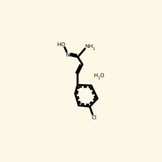 NC(C=Cc1ccc(Cl)cc1)=NO.O